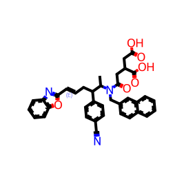 CC(C(C/C=C/c1nc2ccccc2o1)c1ccc(C#N)cc1)N(Cc1ccc2ccccc2c1)C(=O)CC(CC(=O)O)C(=O)O